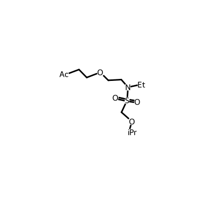 CCN(CCOCCC(C)=O)S(=O)(=O)COC(C)C